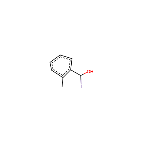 Cc1ccccc1C(O)I